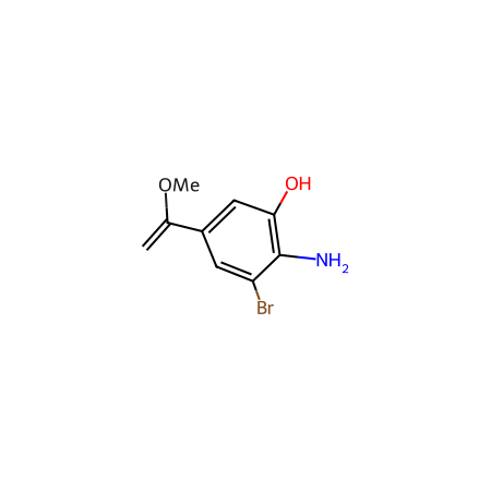 C=C(OC)c1cc(O)c(N)c(Br)c1